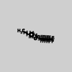 CCCC[C@H]1CC[C@H](CC(=O)OCC(F)(F)C(F)(F)C(F)(F)C(F)(F)C(F)(F)C(F)F)CC1